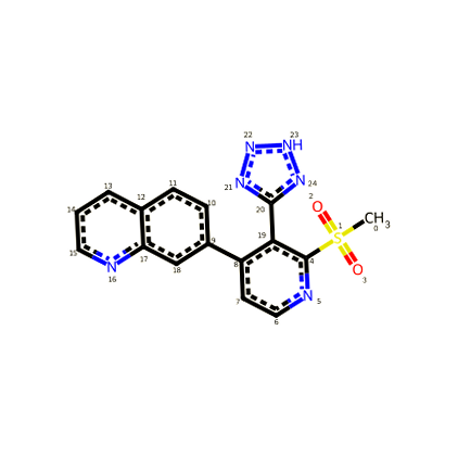 CS(=O)(=O)c1nccc(-c2ccc3cccnc3c2)c1-c1nn[nH]n1